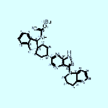 CC(C)(C)OC(=O)N[C@@H]1c2ccccc2C[C@]12CC[C@@H](c1cnc3c(N4CCCc5ncccc54)n[nH]c3n1)CC2